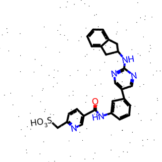 O=C(Nc1cccc(-c2cnc(NC3Cc4ccccc4C3)nc2)c1)c1ccc(CS(=O)(=O)O)nc1